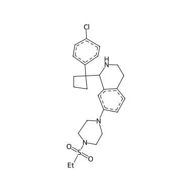 CCS(=O)(=O)N1CCN(c2ccc3c(c2)C(C2(c4ccc(Cl)cc4)CCC2)NCC3)CC1